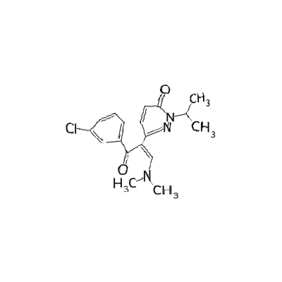 CC(C)n1nc(/C(=C/N(C)C)C(=O)c2cccc(Cl)c2)ccc1=O